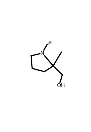 CC(C)N1CCCC1(C)CO